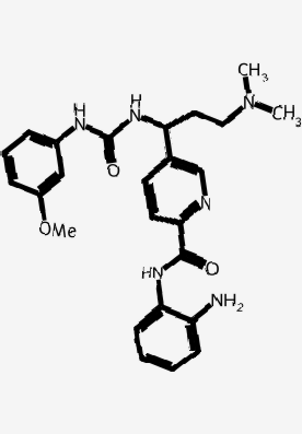 COc1cccc(NC(=O)NC(CCN(C)C)c2ccc(C(=O)Nc3ccccc3N)nc2)c1